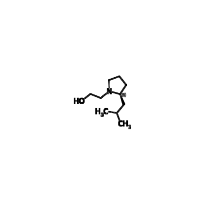 CC(C)C[C@@H]1CCCN1CCO